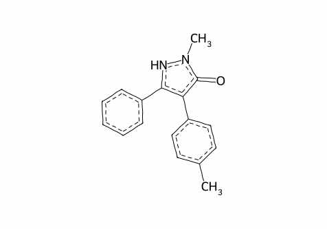 Cc1ccc(-c2c(-c3ccccc3)[nH]n(C)c2=O)cc1